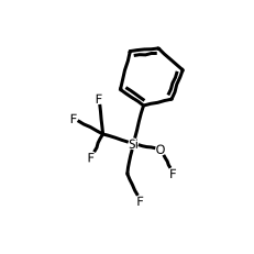 FC[Si](OF)(c1ccccc1)C(F)(F)F